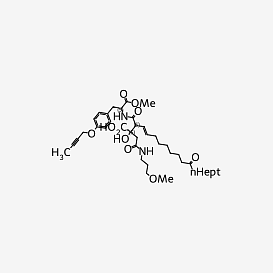 CC#CCOc1ccc(C[C@H](NC(=O)[C@@H](C=CCCCCCCC(=O)CCCCCCC)[C@@](O)(CC(=O)NCCCOC)C(=O)O)C(=O)OC)cc1